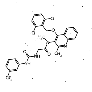 Cc1nc2ccccc2c(OCc2c(Cl)cccc2Cl)c1N(C)C(=O)CNC(=O)Nc1cccc(C(F)(F)F)c1